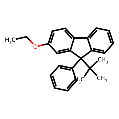 CCOc1ccc2c(c1)C(c1ccccc1)(C(C)(C)C)c1ccccc1-2